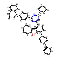 C1=Cc2oc3c(-c4ccc(-c5ccccc5)cc4)ccc(-c4nc(-c5ccccc5)nc(-c5ccc(-c6cccc7ccccc67)cc5)n4)c3c2C=CC1